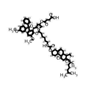 COc1ccc(C(OCC2CC(OC(=O)CCC(=O)O)CN2C(=O)CCCCCNC(=O)OC2CC[C@@]3(C)C(=CCC4C3CC[C@@]3(C)C4CC[C@@H]3[C@H](C)CCCC(C)C)C2)(c2ccccc2)c2ccc(OC)cc2)cc1